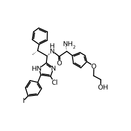 C[C@H](c1ccccc1)[C@H](NC(=O)[C@H](N)c1ccc(OCCO)cc1)c1nc(Cl)c(-c2ccc(I)cc2)[nH]1